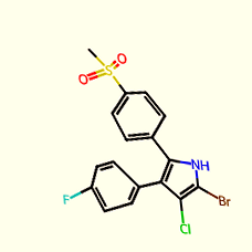 CS(=O)(=O)c1ccc(-c2[nH]c(Br)c(Cl)c2-c2ccc(F)cc2)cc1